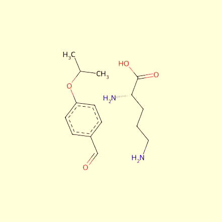 CC(C)Oc1ccc(C=O)cc1.NCCC[C@H](N)C(=O)O